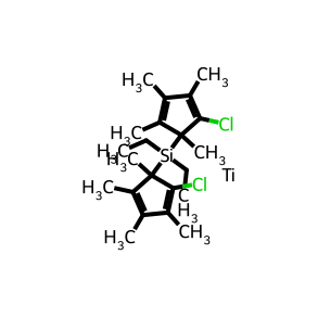 CC[Si](CC)(C1(C)C(C)=C(C)C(C)=C1Cl)C1(C)C(C)=C(C)C(C)=C1Cl.[Ti]